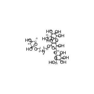 C[C@@H]1O[C@@H](OCCN(C)CCO[C@H]2O[C@H](CO[C@H]3O[C@H](CO)[C@@H](O)[C@H](O)[C@@H]3O)[C@@H](O)[C@H](O[C@H]3O[C@H](CO)[C@@H](O)[C@H](O)[C@@H]3O)[C@@H]2O)[C@@H](O)C[C@@H]1O